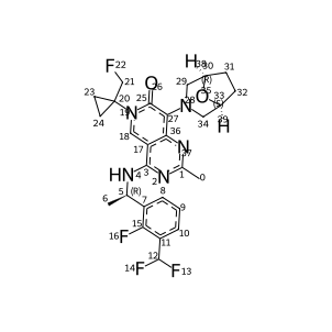 Cc1nc(N[C@H](C)c2cccc(C(F)F)c2F)c2cn(C3(CF)CC3)c(=O)c(N3C[C@H]4CC[C@@H](C3)O4)c2n1